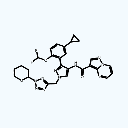 O=C(Nc1cn(Cc2nnn(C3CCCCO3)n2)nc1-c1cc(C2CC2)ccc1OC(F)F)c1cnn2cccnc12